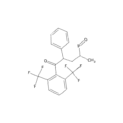 CC(CC(C(=O)c1c(C(F)(F)F)cccc1C(F)(F)F)c1ccccc1)P=O